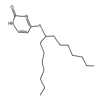 CCCCCCCC(CCCCCCC)Sc1cc[nH]c(=O)n1